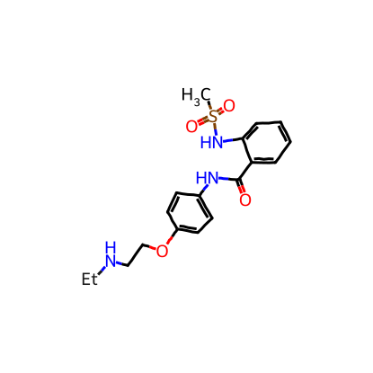 CCNCCOc1ccc(NC(=O)c2ccccc2NS(C)(=O)=O)cc1